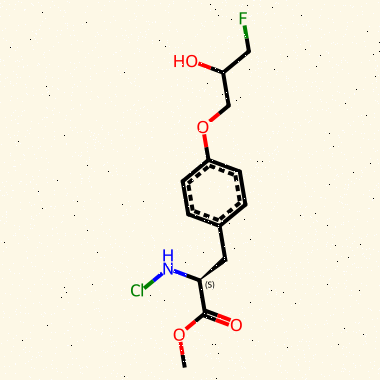 COC(=O)[C@H](Cc1ccc(OCC(O)CF)cc1)NCl